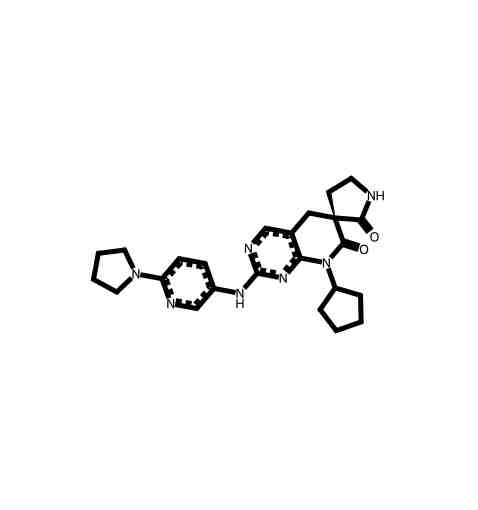 O=C1NCC[C@@]12Cc1cnc(Nc3ccc(N4CCCC4)nc3)nc1N(C1CCCC1)C2=O